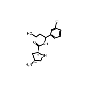 N[C@@H]1CN[C@H](C(=O)NC(CCO)c2cccc(Cl)c2)C1